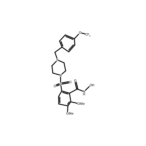 COc1ccc(S(=O)(=O)N2CCN(Cc3ccc(OC(F)(F)F)cc3)CC2)c(C(=O)NO)c1OC